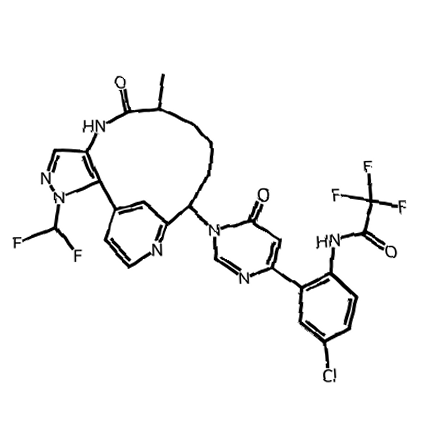 CC1CCCC(n2cnc(-c3cc(Cl)ccc3NC(=O)C(F)(F)F)cc2=O)c2cc(ccn2)-c2c(cnn2C(F)F)NC1=O